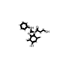 CCC1=CC(C)c2c(nc(Nc3ccccc3)n2C(=O)CCS)C1C